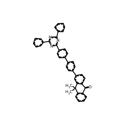 CC1(C)c2ccccc2C(=O)c2ccc(-c3ccc(-c4ccc(-c5nc(-c6ccccc6)nc(-c6ccccc6)n5)cc4)cc3)cc21